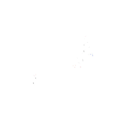 C=C(C)C(=O)OCCCCCCCCCCCOc1ccc(/C(C#N)=C/c2ccc3c(c2)OCC3)cc1OC